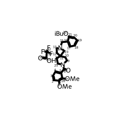 COc1cccc(C(=O)N2CCC3(CCN(Cc4ccccc4OCC(C)C)C3)CC2)c1OC.O=C(O)C(F)(F)F